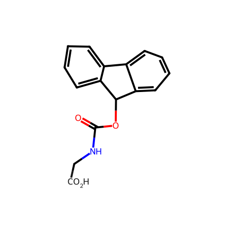 O=C(O)CNC(=O)OC1c2ccccc2-c2ccccc21